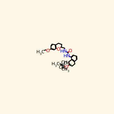 CCOc1ccc2c(c1)OC(CNC(=O)Nc1cccc3c1CC(O[Si](C)(C)C(C)(C)C)CC3)CC2